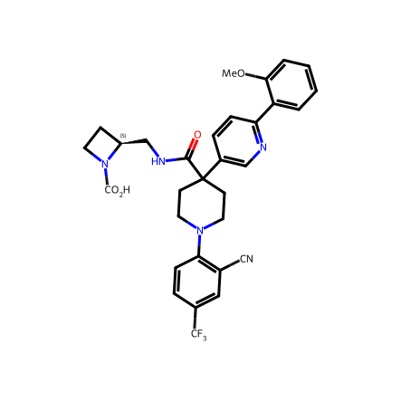 COc1ccccc1-c1ccc(C2(C(=O)NC[C@@H]3CCN3C(=O)O)CCN(c3ccc(C(F)(F)F)cc3C#N)CC2)cn1